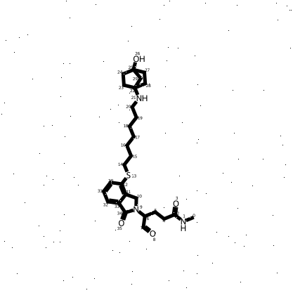 CNC(=O)CCC(C=O)N1Cc2c(SCCCCCCCNC34CCC(O)(CC3)C4)cccc2C1=O